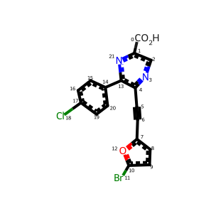 O=C(O)c1cnc(C#Cc2ccc(Br)o2)c(-c2ccc(Cl)cc2)n1